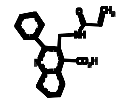 C=CC(=O)NCc1c(-c2ccccc2)nc2ccccc2c1C(=O)O